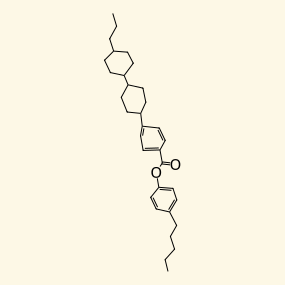 CCCCCc1ccc(OC(=O)c2ccc(C3CCC(C4CCC(CCC)CC4)CC3)cc2)cc1